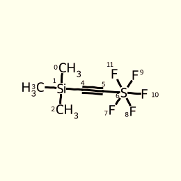 C[Si](C)(C)C#CS(F)(F)(F)(F)F